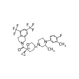 Cc1cc(N2CCN([C@@H]3CC[C@@](C(=O)N4CCc5c(cc(C(F)(F)F)cc5C(F)(F)F)C4)(C4CC4)OC3)CC2C)ccc1F